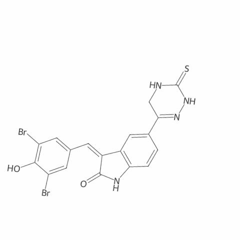 O=C1Nc2ccc(C3=NNC(=S)NC3)cc2C1=Cc1cc(Br)c(O)c(Br)c1